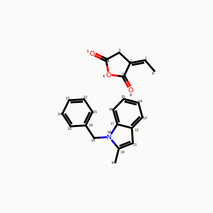 CC=C1CC(=O)OC1=O.Cc1cc2ccccc2n1Cc1ccccc1